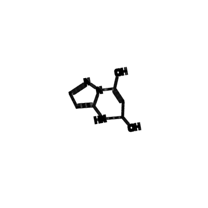 OC1=CC(O)Nc2ccnn21